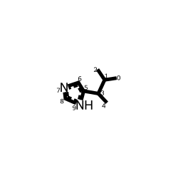 CC(C)C(C)c1cnc[nH]1